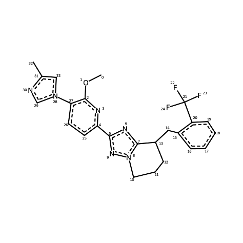 COc1nc(-c2nc3n(n2)CCCC3Cc2ccccc2C(F)(F)F)ccc1-n1cnc(C)c1